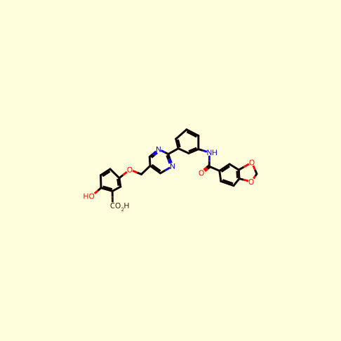 O=C(Nc1cccc(-c2ncc(COc3ccc(O)c(C(=O)O)c3)cn2)c1)c1ccc2c(c1)OCO2